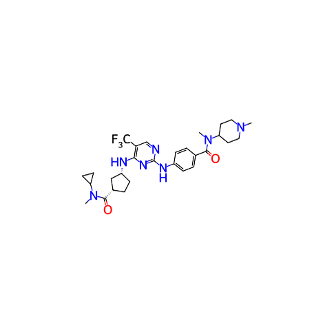 CN1CCC(N(C)C(=O)c2ccc(Nc3ncc(C(F)(F)F)c(N[C@@H]4CC[C@H](C(=O)N(C)C5CC5)C4)n3)cc2)CC1